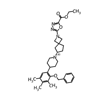 CCOC(=O)c1nnc(N2CC3(CC[C@@H](N4CCC(c5cc(C)c(C)c(C)c5OCc5ccccc5)CC4)C3)C2)o1